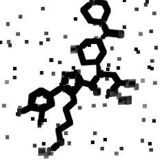 COCCCCc1c(C(=O)N(CC(C)C)[C@@H]2CNC[C@H](C(=O)N3CCOCC3)C2)nnn1-c1ccc(F)c(F)c1.Cl